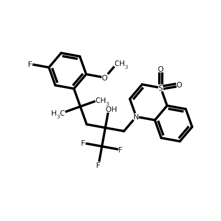 COc1ccc(F)cc1C(C)(C)CC(O)(CN1C=CS(=O)(=O)c2ccccc21)C(F)(F)F